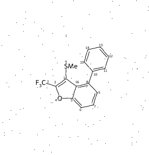 CSc1c(C(F)(F)F)oc2cccc(-c3ccccc3)c12